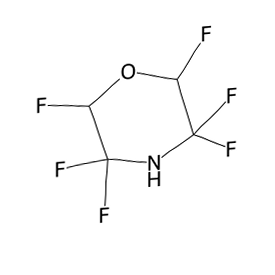 FC1OC(F)C(F)(F)NC1(F)F